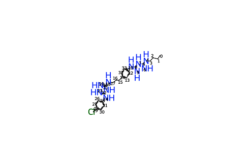 CCCCNC(=N)NC(=N)Nc1ccc(CCCNC(=N)NC(=N)Nc2ccc(Cl)cc2)cc1